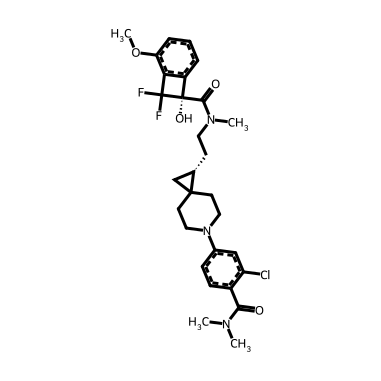 COc1cccc2c1C(F)(F)[C@]2(O)C(=O)N(C)CC[C@H]1CC12CCN(c1ccc(C(=O)N(C)C)c(Cl)c1)CC2